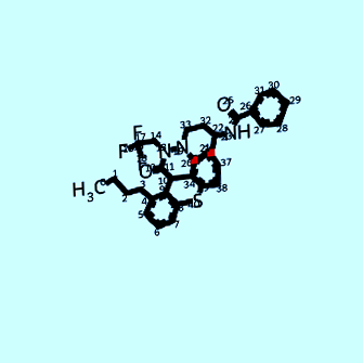 CCCCc1cccc2c1C(C(=O)N(CC(F)(F)F)N1CCC(NC(=O)c3ccccc3)CC1)c1ccccc1S2